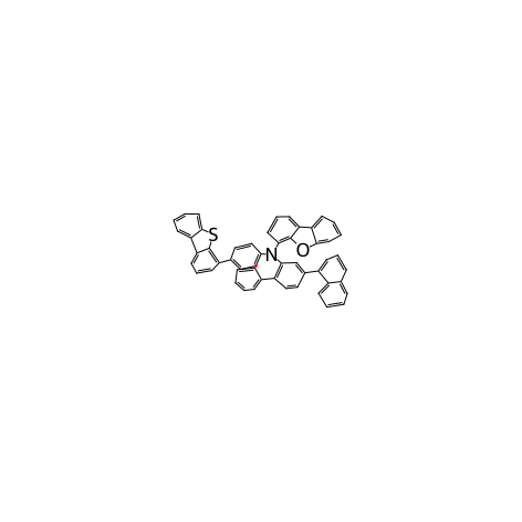 c1ccc(-c2ccc(-c3cccc4ccccc34)cc2N(c2ccc(-c3cccc4c3sc3ccccc34)cc2)c2cccc3c2oc2ccccc23)cc1